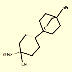 CCCCCC[C@]1(C#N)CC[C@H](C23CCC(CCC)(CC2)CC3)CC1